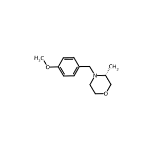 COc1ccc(CN2CCOC[C@H]2C)cc1